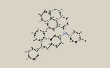 Cc1ccc(N(C2=CCC3=CCc4cccc5ccc2c3c45)c2ccc(C=C(c3ccccc3)c3ccccc3)cc2)cc1